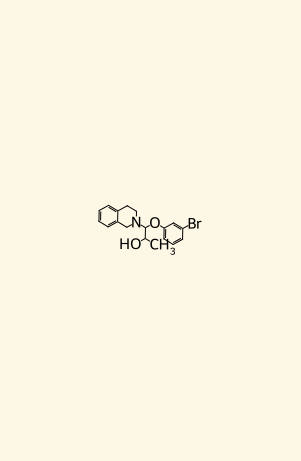 CC(O)C(Oc1cccc(Br)c1)N1CCc2ccccc2C1